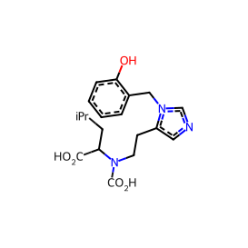 CC(C)CC(C(=O)O)N(CCc1cncn1Cc1ccccc1O)C(=O)O